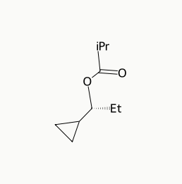 CC[C@@H](OC(=O)C(C)C)C1CC1